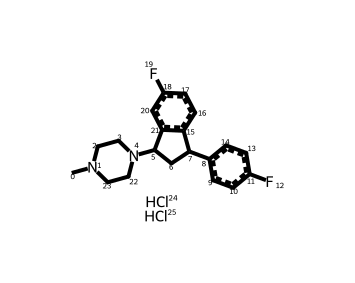 CN1CCN(C2CC(c3ccc(F)cc3)c3ccc(F)cc32)CC1.Cl.Cl